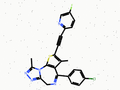 Cc1c(C#Cc2ccc(F)cn2)sc2c1C(c1ccc(Cl)cc1)=NCc1nnc(C)n1-2